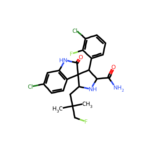 CC(C)(CF)CC1NC(C(N)=O)C(c2cccc(Cl)c2F)C12C(=O)Nc1cc(Cl)ccc12